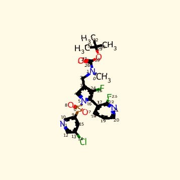 CN(Cc1cn(S(=O)(=O)c2cncc(Cl)c2)c(-c2cccnc2F)c1F)C(=O)OC(C)(C)C